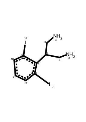 NCC(CN)c1c(I)cccc1I